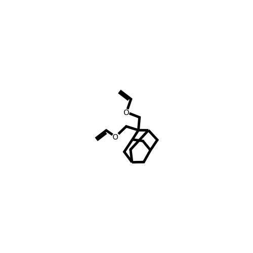 C=COCC1(COC=C)C2CC3CC(C2)CC1C3